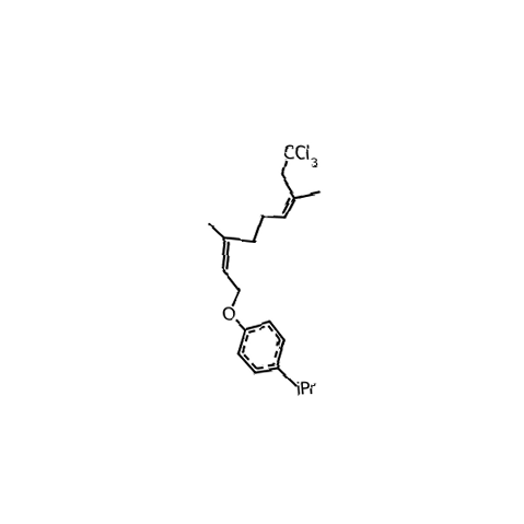 CC(=CCOc1ccc(C(C)C)cc1)CCC=C(C)CC(Cl)(Cl)Cl